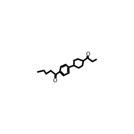 CCCCC(=O)c1ccc(C2CCC(C(=O)CC)CC2)cc1